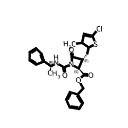 CC1C=C(Cl)SC1C[C@H]1C(=O)N(C(=O)N[C@H](C)c2ccccc2)[C@@H]1C(=O)OCc1ccccc1